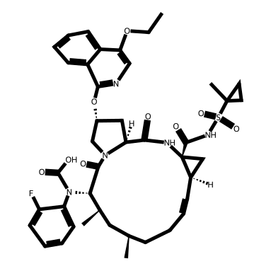 CCOc1cnc(O[C@@H]2C[C@H]3C(=O)N[C@]4(C(=O)NS(=O)(=O)C5(C)CC5)C[C@H]4C=CCC[C@@H](C)C[C@@H](C)[C@H](N(C(=O)O)c4ccccc4F)C(=O)N3C2)c2ccccc12